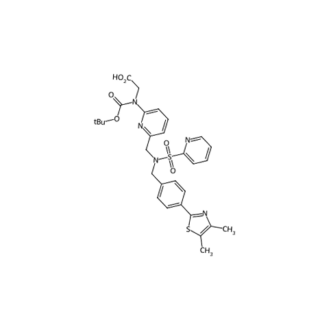 Cc1nc(-c2ccc(CN(Cc3cccc(N(CC(=O)O)C(=O)OC(C)(C)C)n3)S(=O)(=O)c3ccccn3)cc2)sc1C